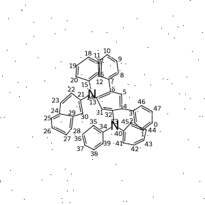 c1ccc(-c2cc(-c3ccccc3)c(N(c3ccccc3)c3ccc4ccccc4c3)cc2N(c2ccccc2)c2ccccc2)cc1